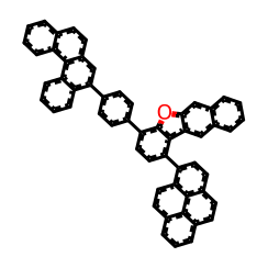 c1ccc2cc3c(cc2c1)oc1c(-c2ccc(-c4cc5ccc6ccccc6c5c5ccccc45)cc2)ccc(-c2ccc4ccc5cccc6ccc2c4c56)c13